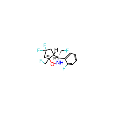 FC[C@@]12CC(F)(F)C[C@@H]1[C@@](CF)(c1ccccc1F)NO2